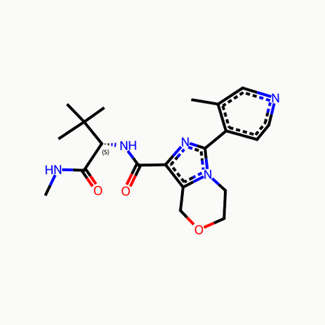 CNC(=O)[C@@H](NC(=O)c1nc(-c2ccncc2C)n2c1COCC2)C(C)(C)C